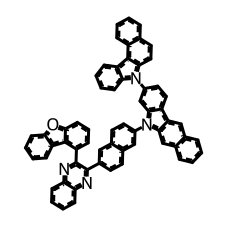 c1ccc2cc3c(cc2c1)c1ccc(-n2c4ccccc4c4c5ccccc5ccc42)cc1n3-c1ccc2cc(-c3nc4ccccc4nc3-c3cccc4oc5ccccc5c34)ccc2c1